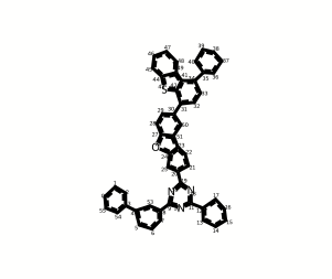 c1ccc(-c2cccc(-c3nc(-c4ccccc4)nc(-c4ccc5c(c4)oc4ccc(-c6ccc(-c7ccccc7)c7c6sc6ccccc67)cc45)n3)c2)cc1